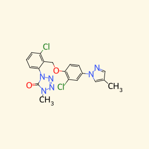 Cc1cnn(-c2ccc(OCc3c(Cl)cccc3-n3nnn(C)c3=O)c(Cl)c2)c1